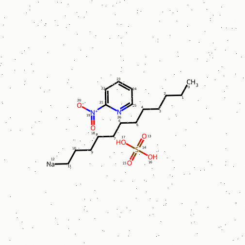 CCCCCCCCCCC[CH2][Na].O=S(=O)(O)O.O=[N+]([O-])c1ccccn1